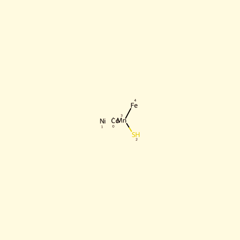 [Co].[Ni].[SH][Mn][Fe]